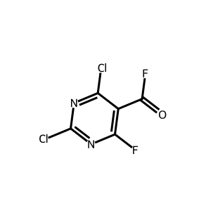 O=C(F)c1c(F)nc(Cl)nc1Cl